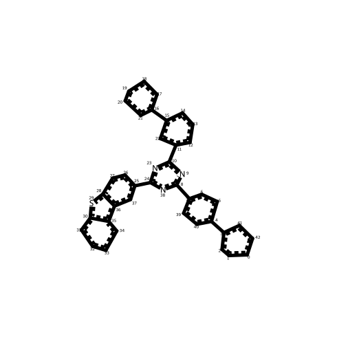 c1ccc(-c2ccc(-c3nc(-c4cccc(-c5ccccc5)c4)nc(-c4ccc5sc6ccccc6c5c4)n3)cc2)cc1